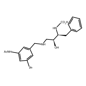 CC(=O)Nc1cc(CNC[C@H](O)[C@H](Cc2ccccc2)NC(=O)O)cc(C(C)C)c1